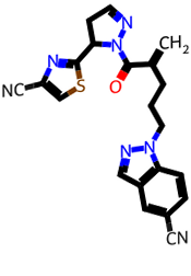 C=C(CCCn1ncc2cc(C#N)ccc21)C(=O)N1N=CCC1c1nc(C#N)cs1